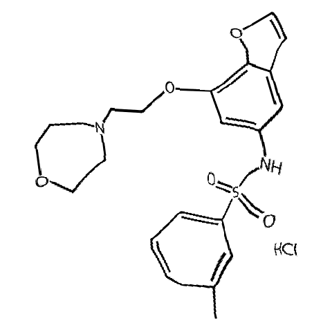 Cc1cccc(S(=O)(=O)Nc2cc(OCCN3CCOCC3)c3occc3c2)c1.Cl